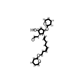 O=CC[C@@H]1[C@@H](/C=C/CC/C=C\CCOC2CCCCO2)[C@H](OC2CCCCO2)C[C@@H]1O